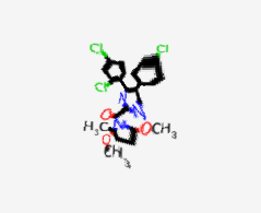 COC1CCC(C)(OC)N1C(=O)c1ncc(-c2ccc(Cl)cc2)c(-c2ccc(Cl)cc2Cl)n1